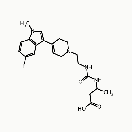 CC(CC(=O)O)NC(=O)NCCN1CC=C(c2cn(C)c3ccc(F)cc23)CC1